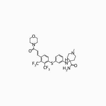 CN1CCC(Nc2cccc(Sc3ccc(C=CC(=O)N4CCOCC4)c(C(F)(F)F)c3C(F)(F)F)c2)(C(N)=O)CC1